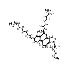 CC(C)CCC[C@@H](C)[C@H]1CCC2C3C[C@@H](NCCCCCCCN)C4=C[C@@H](NCCCCCCCN)CC[C@]4(C)C3CC[C@@]21C